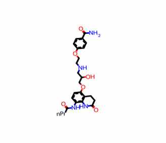 CCCC(=O)Nc1ccc(OCC(O)CNCCOc2ccc(C(N)=O)cc2)c2c1NC(=O)CC2